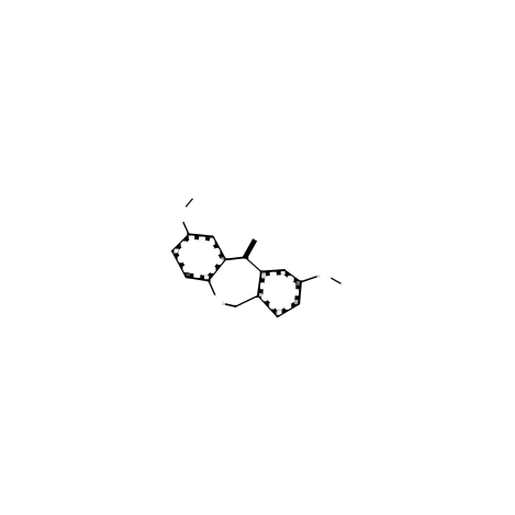 COc1ccc2c(c1)C(=O)c1cc(OC)ccc1OC2